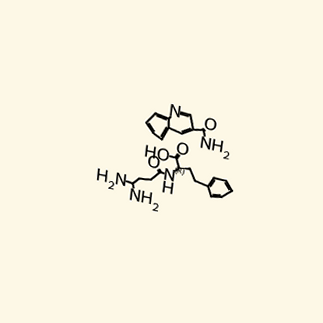 NC(=O)c1cnc2ccccc2c1.NC(N)CCC(=O)N[C@H](CCc1ccccc1)C(=O)O